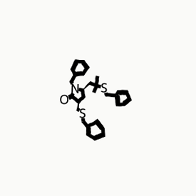 CC(C)(C[C@H]1C[C@@H](CSCc2ccccc2)C(=O)N1Cc1ccccc1)SCc1ccccc1